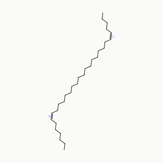 CCCC/C=C\CCCCCCCC[CH]CCCCCCC/C=C\CCCCCC